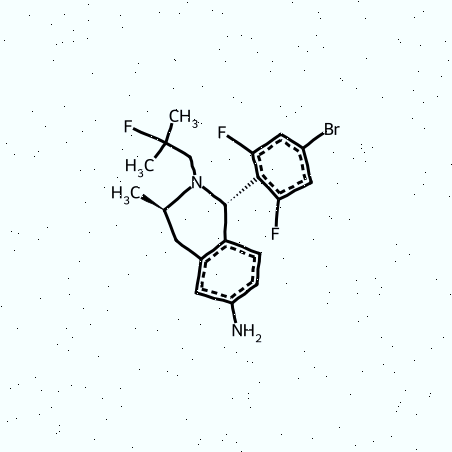 C[C@@H]1Cc2cc(N)ccc2[C@@H](c2c(F)cc(Br)cc2F)N1CC(C)(C)F